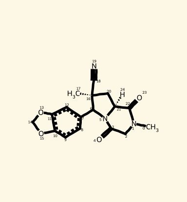 CN1CC(=O)N2C(c3ccc4c(c3)OCO4)[C@@](C)(C#N)C[C@H]2C1=O